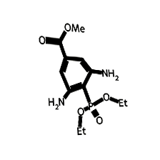 CCOP(=O)(OCC)c1c(N)cc(C(=O)OC)cc1N